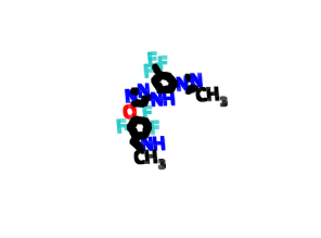 Cc1cn(-c2cc(Nc3ncnc(Oc4cc(F)c5[nH]c(C)cc5c4F)c3F)cc(C(F)(F)F)c2)cn1